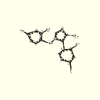 Cc1ncn(Nc2ccc(F)cc2Cl)c1-c1ccc(F)cc1F